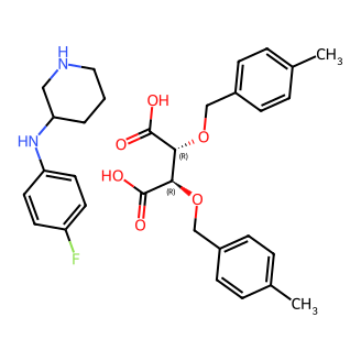 Cc1ccc(CO[C@@H](C(=O)O)[C@@H](OCc2ccc(C)cc2)C(=O)O)cc1.Fc1ccc(NC2CCCNC2)cc1